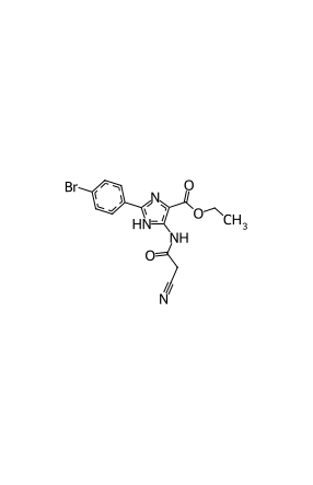 CCOC(=O)c1nc(-c2ccc(Br)cc2)[nH]c1NC(=O)CC#N